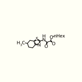 CCCCCCOC(=O)C(=O)Nc1nc2c(s1)CC(C)CC2